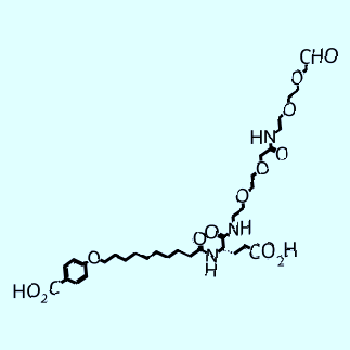 O=CCOCCOCCNC(=O)COCCOCCNC(=O)[C@H](CCC(=O)O)NC(=O)CCCCCCCCCOc1ccc(C(=O)O)cc1